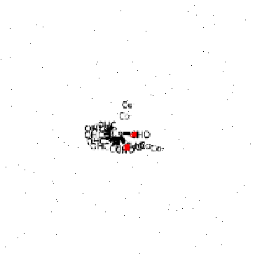 O=[CH][Co]([CH]=O)([CH]=O)([CH]=O)([CH]=O)([CH]=O)([CH]=O)([CH]=O)([CH]=O)([CH]=O)([CH]=O)[CH]=O.[Co].[Co].[Co].[Co]